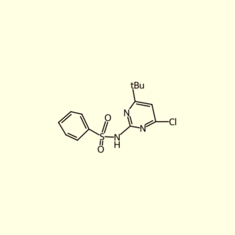 CC(C)(C)c1cc(Cl)nc(NS(=O)(=O)c2ccccc2)n1